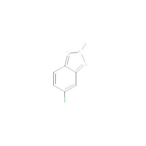 On1nc2ccc(Cl)cc2n1